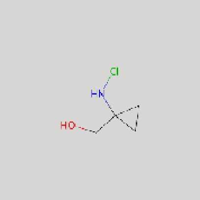 OCC1(NCl)CC1